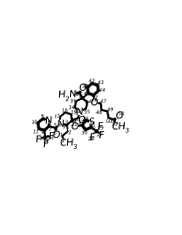 CCC[C@H]1N(C(=O)c2ncccc2C(F)(F)F)CCC[C@@]1(Oc1csc(C(F)(F)F)c1)C(=O)N1CCC(C(N)=O)(c2ccccc2OCCCCC(C)=O)CC1